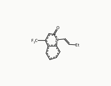 CCC=Cn1c(=O)cc(C(F)(F)F)c2ccccc21